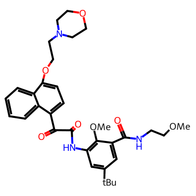 COCCNC(=O)c1cc(C(C)(C)C)cc(NC(=O)C(=O)c2ccc(OCCN3CCOCC3)c3ccccc23)c1OC